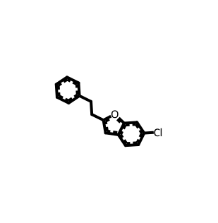 Clc1ccc2cc(CCc3ccccc3)oc2c1